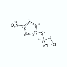 CC(Cl)(CCl)Sc1ccc([N+](=O)[O-])cc1